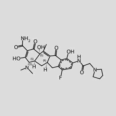 CC1=C2C(=O)c3c(O)c(NC(=O)CN4CCCC4)cc(F)c3C[C@H]2C[C@H]2[C@H](N(C)C)C(O)=C(C(N)=O)C(=O)[C@@]12O